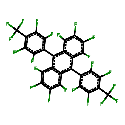 Fc1c(F)c(C(F)(F)F)c(F)c(F)c1-c1c2c(F)c(F)c(F)c(F)c2c(-c2c(F)c(F)c(C(F)(F)F)c(F)c2F)c2c(F)c(F)c(F)c(F)c12